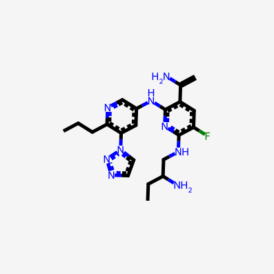 C=C(N)c1cc(F)c(NCC(N)CC)nc1Nc1cnc(CCC)c(-n2ccnn2)c1